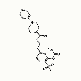 CS(=O)(=O)c1ccc(CCCC(O)N2CCN(c3ccccc3)CC2)cc1NC(N)=O